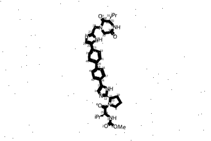 COC(=O)N[C@H](C(=O)N1CCC[C@H]1c1ncc(-c2ccc(-c3ccc(-c4cnc(CN5CC(=O)N[C@@H](C(C)C)C5=O)[nH]4)cc3)cc2)[nH]1)C(C)C